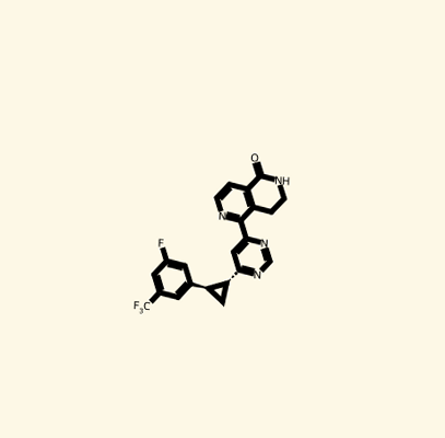 O=C1NCCc2c1ccnc2-c1cc([C@@H]2C[C@H]2c2cc(F)cc(C(F)(F)F)c2)ncn1